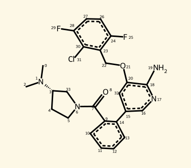 CN(C)[C@H]1CCN(C(=O)c2ccccc2-c2cnc(N)c(OCc3c(F)ccc(F)c3Cl)c2)C1